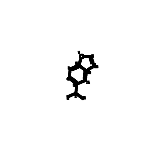 CC(C)c1ccc2ocnc2c1